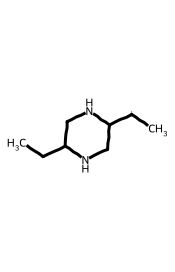 C[CH]C1CNC(CC)CN1